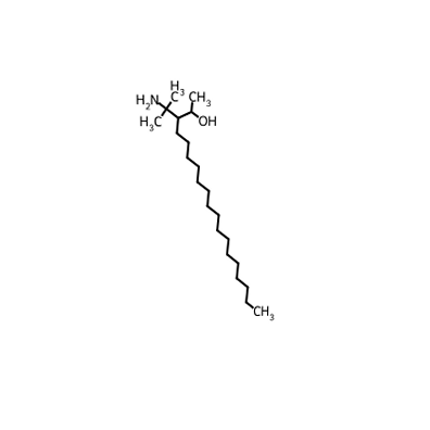 CCCCCCCCCCCCCCCCC(C(C)O)C(C)(C)N